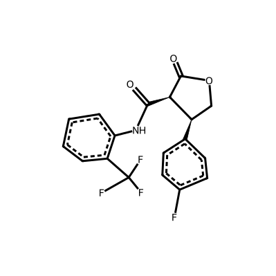 O=C(Nc1ccccc1C(F)(F)F)[C@H]1C(=O)OC[C@H]1c1ccc(F)cc1